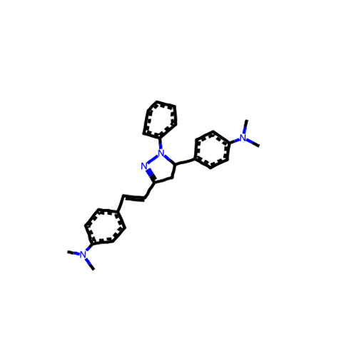 CN(C)c1ccc(C=CC2=NN(c3ccccc3)C(c3ccc(N(C)C)cc3)C2)cc1